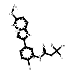 COc1ccc2nc(-c3ccc(Cl)c(NC(=O)CC(F)(F)F)c3)cn2n1